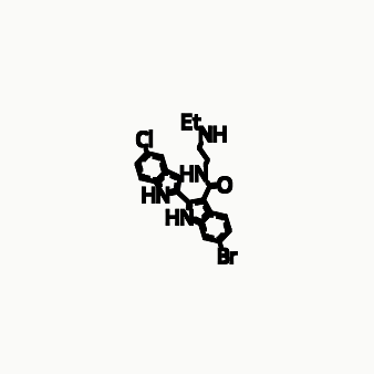 CCNCCNC(=O)c1c(-c2cc3cc(Cl)ccc3[nH]2)[nH]c2cc(Br)ccc12